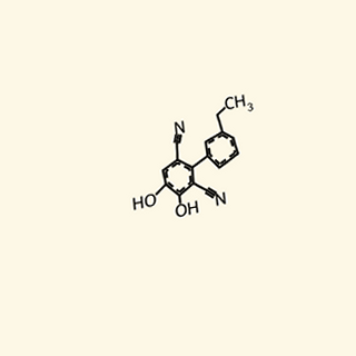 CCc1cccc(-c2c(C#N)cc(O)c(O)c2C#N)c1